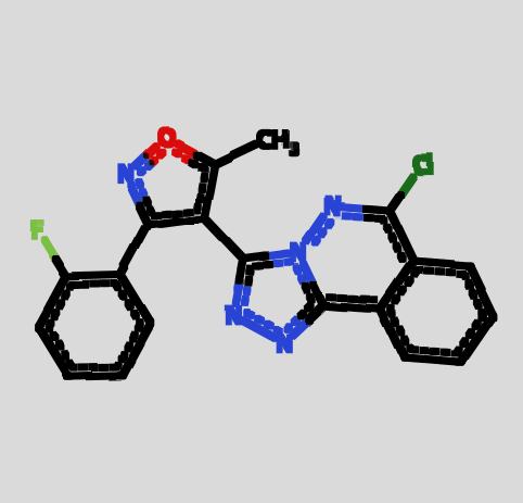 Cc1onc(-c2ccccc2F)c1-c1nnc2c3ccccc3c(Cl)nn12